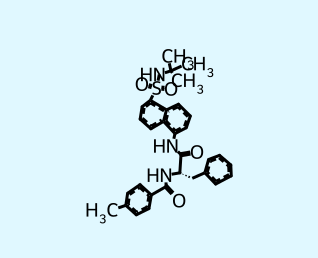 Cc1ccc(C(=O)N[C@@H](Cc2ccccc2)C(=O)Nc2cccc3c(S(=O)(=O)NC(C)(C)C)cccc23)cc1